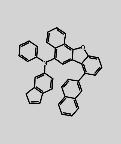 C1=Cc2ccc(N(c3ccccc3)c3cc4c(oc5cccc(-c6ccc7ccccc7c6)c54)c4ccccc34)cc2C1